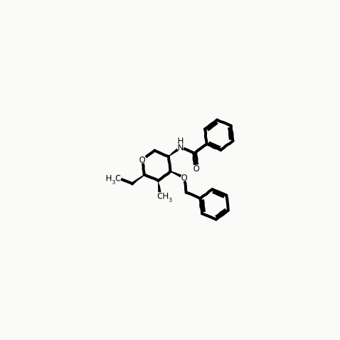 CC[C@H]1OC[C@@H](NC(=O)c2ccccc2)[C@@H](OCc2ccccc2)[C@H]1C